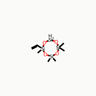 C=C[Si]1(C)O[SiH2]O[Si](C)(C)O[Si](C)(C)O1